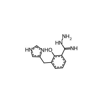 N=C(NN)c1cccc(Cc2c[nH]cn2)c1O